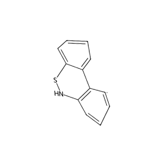 [c]1cccc2c1-c1ccccc1SN2